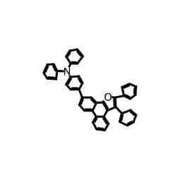 c1ccc(-c2oc3c4cc(-c5ccc(N(c6ccccc6)c6ccccc6)cc5)ccc4c4ccccc4c3c2-c2ccccc2)cc1